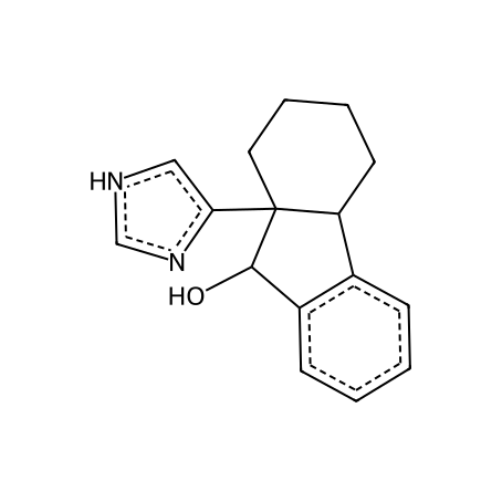 OC1c2ccccc2C2CCCCC12c1c[nH]cn1